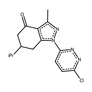 Cc1nn(-c2ccc(Cl)nn2)c2c1C(=O)CC(C(C)C)C2